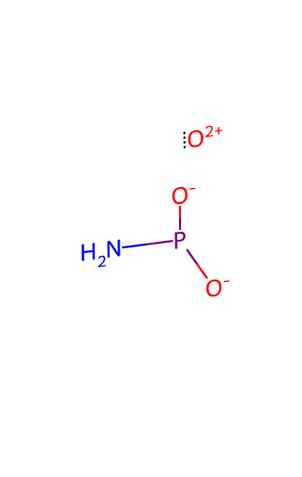 NP([O-])[O-].[O+2]